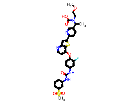 COCCN(C(=O)O)C(C)c1ccc(-c2cc3nccc(Oc4ccc(NC(=O)Nc5cccc(S(C)(=O)=O)c5)cc4F)c3s2)nc1